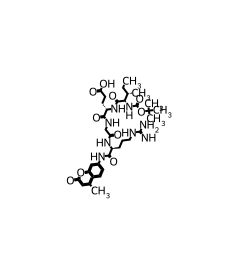 CC[C@H](C)[C@H](NC(=O)OC(C)(C)C)C(=O)N[C@@H](CCC(=O)O)C(=O)NCC(=O)N[C@@H](CCCNC(=N)N)C(=O)Nc1ccc2c(C)cc(=O)oc2c1